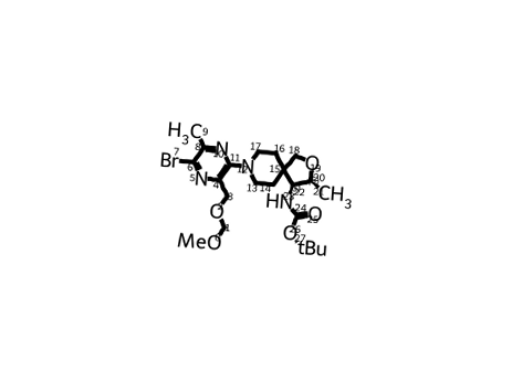 COCOCc1nc(Br)c(C)nc1N1CCC2(CC1)CO[C@@H](C)[C@H]2NC(=O)OC(C)(C)C